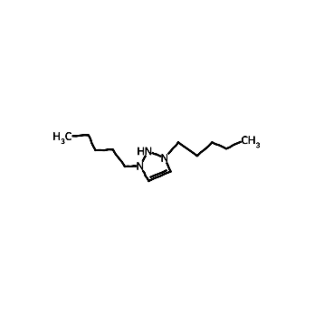 CCCCCN1C=CN(CCCCC)N1